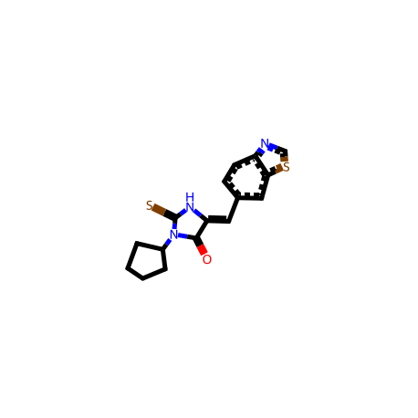 O=C1/C(=C/c2ccc3ncsc3c2)NC(=S)N1C1CCCC1